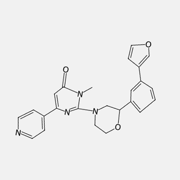 Cn1c(N2CCOC(c3cccc(-c4ccoc4)c3)C2)nc(-c2ccncc2)cc1=O